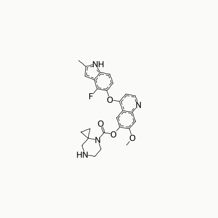 COc1cc2nccc(Oc3ccc4[nH]c(C)cc4c3F)c2cc1OC(=O)N1CCNCC12CC2